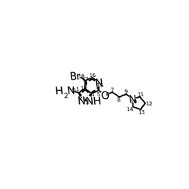 Nc1n[nH]c2c(OCCCN3CCCC3)ncc(Br)c12